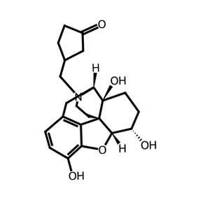 O=C1CCC(CN2CC[C@]34c5c6ccc(O)c5O[C@H]3[C@@H](O)CC[C@@]4(O)[C@H]2C6)C1